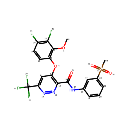 COc1c(Oc2cc(C(F)(F)F)nnc2C(=O)Nc2cccc(S(C)(=O)=O)c2)ccc(F)c1F